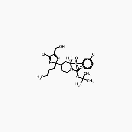 CCCCC1(C2CCN(C(=O)OC(C)(C)C)C(C)(S(=O)(=O)c3cccc(Cl)c3)C2)N=C(Cl)C(CO)=N1